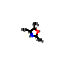 CC1=NC(C)OC1C